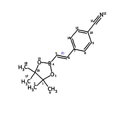 CC1(C)OB(/C=C/c2ccc(C#N)cc2)OC1(C)C